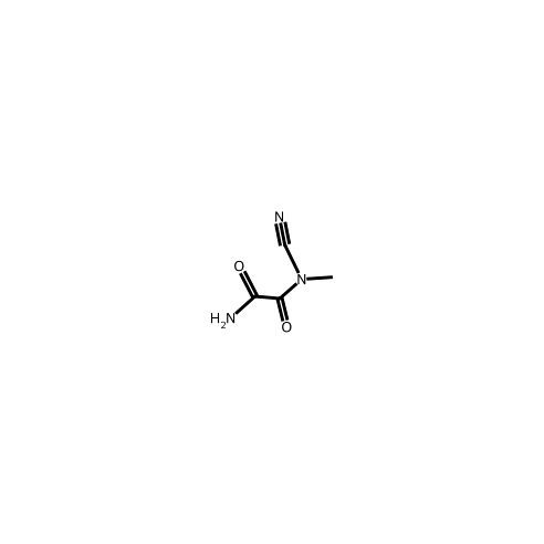 CN(C#N)C(=O)C(N)=O